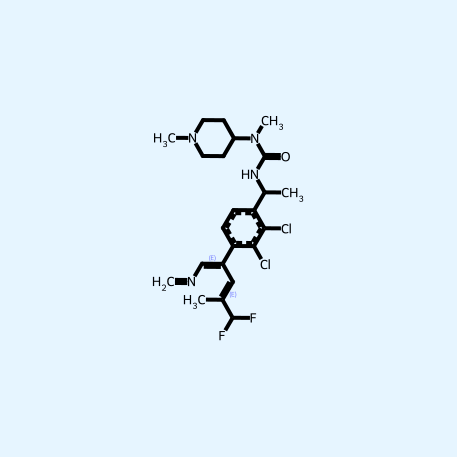 C=N/C=C(\C=C(/C)C(F)F)c1ccc(C(C)NC(=O)N(C)C2CCN(C)CC2)c(Cl)c1Cl